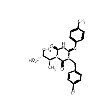 Cc1ccc(/N=c2\[nH]c(=O)n([C@@H](C)[C@@H](C)C(=O)O)c(=O)n2Cc2ccc(Cl)cc2)cc1